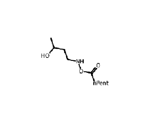 CCCCCC(=O)ONCCC(C)O